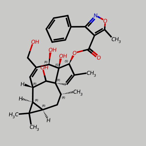 CC1=C[C@]23C(O)[C@@H](C=C(CO)[C@@H](O)[C@]2(O)[C@H]1OC(=O)c1c(-c2ccccc2)noc1C)[C@H]1[C@@H](C[C@H]3C)C1(C)C